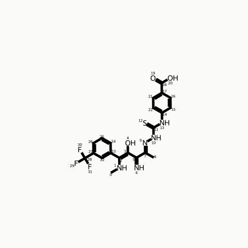 CN/C(=C(/O)C(=N)/C(C)=N/NC(=S)Nc1ccc(C(=O)O)cc1)c1cccc(C(F)(F)F)c1